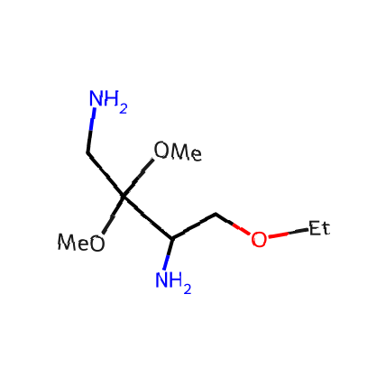 CCOCC(N)C(CN)(OC)OC